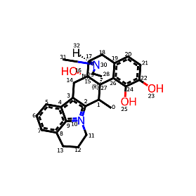 CC1c2c(c3cccc4c3n2CCC4)C[C@@]2(O)[C@H]3Cc4ccc(O)c(O)c4[C@@]12CCN3C